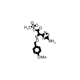 COc1ccc(CON=C(C(=O)OS(C)(=O)=O)c2nsc(N)n2)cc1